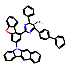 C[C@H]1C(c2ccc(-c3ccccc3)cc2)=NC(c2cc(-n3c4ccccc4c4cc5ccccc5cc43)cc3oc4ccccc4c23)=NC1c1ccccc1